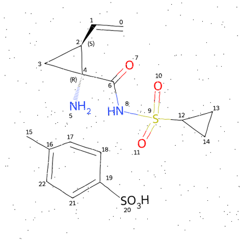 C=C[C@@H]1C[C@]1(N)C(=O)NS(=O)(=O)C1CC1.Cc1ccc(S(=O)(=O)O)cc1